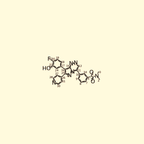 CN(C)S(=O)(=O)c1cccc(-c2cnnc3c(-c4ccc(F)c(O)c4)c(-c4ccncc4)nn23)c1